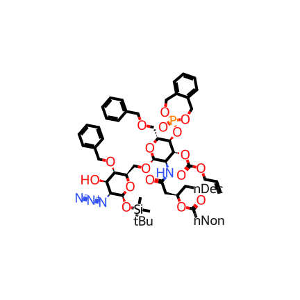 C=CCOC(=O)O[C@@H]1[C@@H](NC(=O)C[C@@H](CCCCCCCCCCC)OC(=O)CCCCCCCCC)[C@H](OC[C@H]2O[C@@H](O[Si](C)(C)C(C)(C)C)[C@H](N=[N+]=[N-])[C@@H](O)[C@@H]2OCc2ccccc2)O[C@H](COCc2ccccc2)[C@H]1OP1(=O)OCc2ccccc2CO1